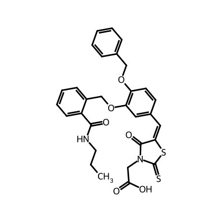 CCCNC(=O)c1ccccc1COc1cc(C=C2SC(=S)N(CC(=O)O)C2=O)ccc1OCc1ccccc1